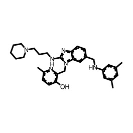 Cc1cc(C)cc(NCc2ccc3nc(NCCCN4CCCCC4)n(Cc4nc(C)ccc4O)c3c2)c1